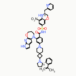 C=C(C)c1ccccc1[C@@H]1CCCN1C1CC2(CCN(c3ccc(C(=O)NS(=O)(=O)c4cc5c(c([N+](=O)[O-])c4)N[C@@H](Cc4ccccn4)CO5)c(N4CCCOc5nc6[nH]ccc6cc54)c3)CC2)C1